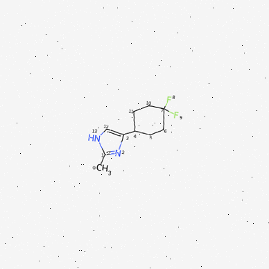 Cc1nc(C2CCC(F)(F)CC2)c[nH]1